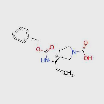 C=CC(NC(=O)OCc1ccccc1)[C@H]1CCN(C(=O)O)C1